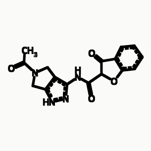 CC(=O)N1Cc2[nH]nc(NC(=O)C3Oc4ccccc4C3=O)c2C1